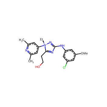 CC[N@@+]1(c2cc(C)nc(C)c2)N=C(Nc2cc(Cl)cc(OC)c2)N=C1CCO